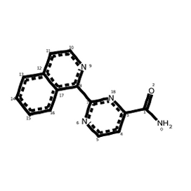 NC(=O)c1ccnc(-c2nccc3ccccc23)n1